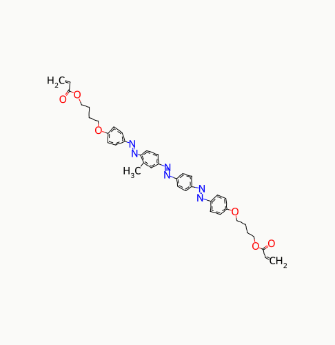 C=CC(=O)OCCCCOc1ccc(N=Nc2ccc(N=Nc3ccc(N=Nc4ccc(OCCCCOC(=O)C=C)cc4)c(C)c3)cc2)cc1